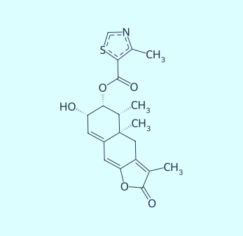 CC1=C2C[C@@]3(C)C(=C[C@H](O)[C@H](OC(=O)c4scnc4C)[C@@H]3C)C=C2OC1=O